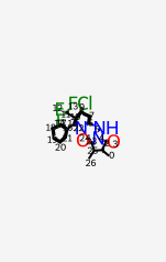 CC1C(=O)N(Nc2cc(Cl)c(C(F)(F)F)c(-c3ccccc3)n2)C(=O)C1C